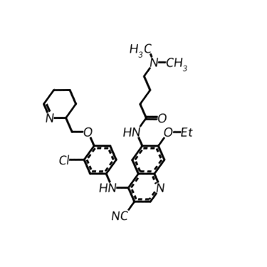 CCOc1cc2ncc(C#N)c(Nc3ccc(OCC4CCCC=N4)c(Cl)c3)c2cc1NC(=O)CCCN(C)C